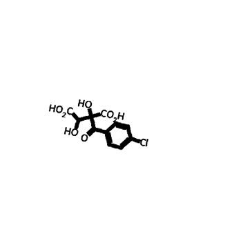 O=C(O)C(O)C(O)(C(=O)O)C(=O)c1ccc(Cl)cc1